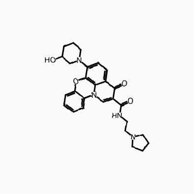 O=C(NCCN1CCCC1)c1cn2c3c(c(N4CCCC(O)C4)ccc3c1=O)Oc1ccccc1-2